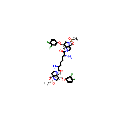 CS(=O)(=O)N1C[C@H](COc2ccc(F)c(F)c2)[C@@H]2[C@H]1CCN2C(=O)C(N)CCCC[C@H](N)C(=O)N1CC[C@@H]2[C@H]1[C@@H](COc1ccc(F)c(F)c1)CN2S(C)(=O)=O